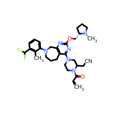 C=CC(=O)N1CCN(c2nc(OC[C@@H]3CCCN3C)nc3c2CCCN(c2cccc(C(F)F)c2C)C3)CC1CC#N